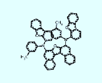 Cc1cccc(N(c2cccc3c2oc2ccccc23)c2cc3ccccc3c3c2oc2c(N(c4cccc(C)c4)c4cccc5c4oc4ccccc45)cc4ccccc4c23)c1